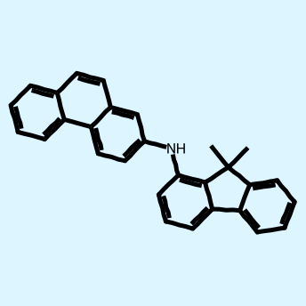 CC1(C)c2ccccc2-c2cccc(Nc3ccc4c(ccc5ccccc54)c3)c21